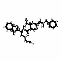 NCCCC(NC(=O)c1cnc(NNCc2ccccc2)nc1CF)c1nc2ccccc2[nH]1